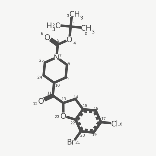 CC(C)(C)OC(=O)N1CCC(C(=O)C2Cc3cc(Cl)cc(Br)c3O2)CC1